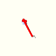 COCCOCCOCCOCCOCCOCCOCCOCCOCCOCCOCCOCCC(=O)NCCCC[C@H](NC(=O)OCC1c2ccccc2-c2ccccc21)C(=O)ON1C(=O)CCC1=O